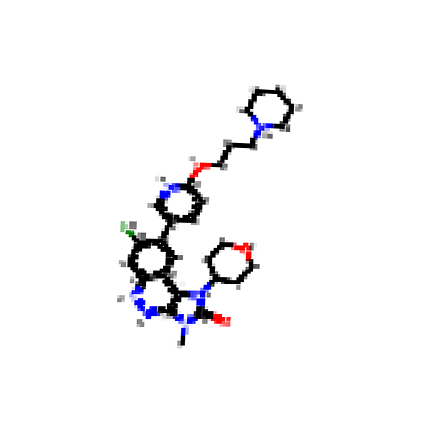 Cn1c(=O)n(C2CCOCC2)c2c3cc(-c4ccc(OCCCN5CCCCC5)nc4)c(F)cc3nnc21